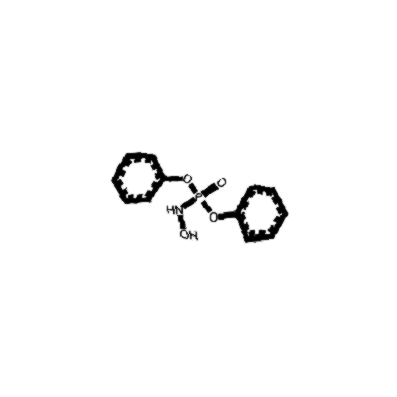 O=P(NO)(Oc1ccccc1)Oc1ccccc1